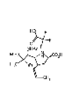 C/C=C\[C@@H]1C[C@H](C(=O)O)N[C@H]1[C@@H](NC(C)=O)[C@](C)(CCC)OC.O=C(O)C(F)(F)F